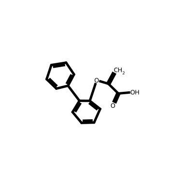 C=C(Oc1ccccc1-c1ccccc1)C(=O)O